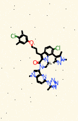 Cc1cc(OCCCc2c3n(c4c(-c5c(C)nn(C)c5C)c(Cl)ccc24)[C@H](C)CN(c2cn(C)c4ccc(-n5nnnc5C)nc24)C3=O)cc(C)c1Cl